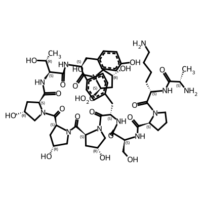 C[C@H](N)C(=O)N[C@@H](CCCCN)C(=O)N1CCC[C@H]1C(=O)N[C@@H](CO)C(=O)N[C@@H](Cc1ccc(O)cc1)C(=O)N1C[C@H](O)C[C@H]1C(=O)N1C[C@H](O)C[C@H]1C(=O)N1C[C@H](O)C[C@H]1C(=O)N[C@H](C(=O)N[C@@H](Cc1ccc(O)cc1)C(=O)N1C[C@H](O)C[C@H]1C(=O)O)[C@@H](C)O